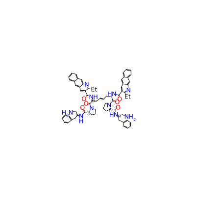 CCc1nc2cc3ccccc3cc2cc1C(=O)NC(CC=CC[C@H](NC(=O)c1cc2cc3ccccc3cc2nc1CC)C(=O)N1CCC[C@H]1C(=O)N[C@H](CN)Cc1ccccc1)C(=O)N1CCC[C@H]1C(=O)N[C@H](CN)Cc1ccccc1